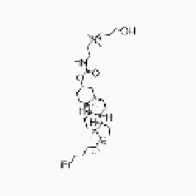 CC(C)CCC[C@@H](C)[C@H]1CC[C@H]2[C@@H]3CC=C4CC(OC(=O)NCC[N+](C)(C)CCCO)CC[C@]4(C)[C@H]3CC[C@]12C